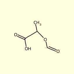 CC(O[C]=O)C(=O)O